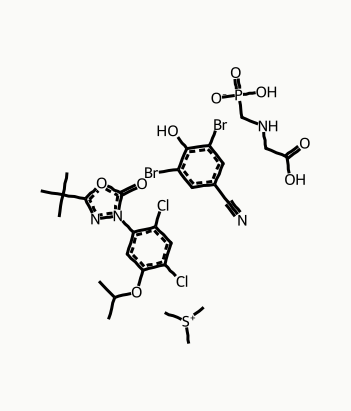 CC(C)Oc1cc(-n2nc(C(C)(C)C)oc2=O)c(Cl)cc1Cl.C[S+](C)C.N#Cc1cc(Br)c(O)c(Br)c1.O=C(O)CNCP(=O)([O-])O